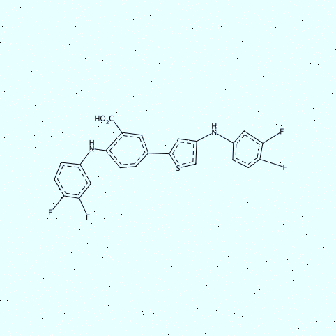 O=C(O)c1cc(-c2cc(Nc3ccc(F)c(F)c3)cs2)ccc1Nc1ccc(F)c(F)c1